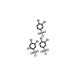 O=S(=O)([O-])c1ccc(Br)c(Br)c1.O=S(=O)([O-])c1ccc(Br)c(Br)c1.O=S(=O)([O-])c1ccc(Br)c(Br)c1.[Al+3]